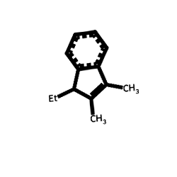 CCC1C(C)=C(C)c2ccccc21